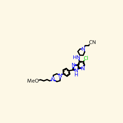 COCCCCN1CCN(c2ccc(-c3nc4c(NC5CCN(CCC#N)CC5)c(Cl)cnc4[nH]3)cc2)CC1